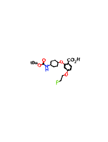 CC(C)(C)OC(=O)N[C@H]1CC[C@@H](Oc2cc(OCCF)ccc2C(=O)O)CC1